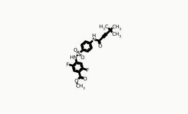 COC(=O)c1cc(F)c(NS(=O)(=O)c2ccc(NC(=O)C#CC(C)(C)C)cc2)cc1F